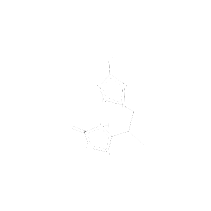 CC(C)c1nnn(CC(C)c2noc(=O)[nH]2)n1